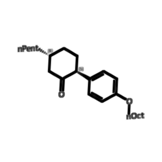 CCCCCCCCOc1ccc([C@@H]2CC[C@@H](CCCCC)CC2=O)cc1